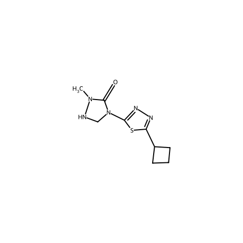 CN1NCN(c2nnc(C3CCC3)s2)C1=O